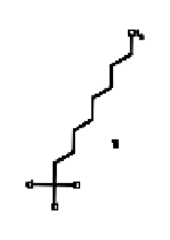 CCCCCCCCCC(Cl)(Cl)Cl.[Ti]